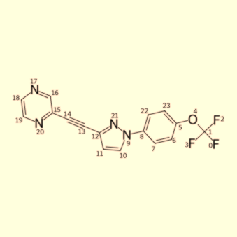 FC(F)(F)Oc1ccc(-n2ccc(C#Cc3cnccn3)n2)cc1